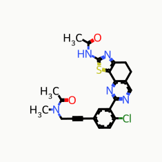 CC(=O)Nc1nc2c(s1)-c1nc(-c3cc(C#CCN(C)C(C)=O)ccc3Cl)ncc1CC2